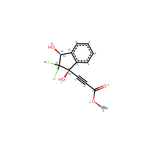 CC(C)(C)OC(=O)C#C[C@@]1(O)c2ccccc2[C@H](O)C1(F)F